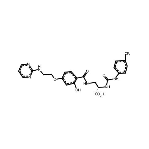 O=C(Nc1ccc(C(F)(F)F)cc1)N[C@@H](CNC(=O)c1ccc(OCCNc2ncccn2)cc1O)C(=O)O